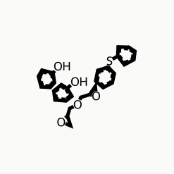 C(OCC1CO1)C1CO1.Oc1ccccc1.Oc1ccccc1.c1ccc(Sc2ccccc2)cc1